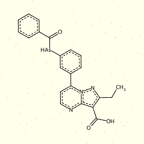 CCc1nn2c(-c3cccc([AsH]C(=O)c4ccccc4)c3)ccnc2c1C(=O)O